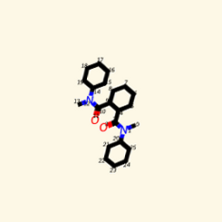 CN(C(=O)C1CCCCC1C(=O)N(C)C1CCCCC1)C1CCCCC1